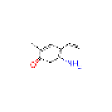 C=CC1=C(N)CC(=O)C(C)=C1